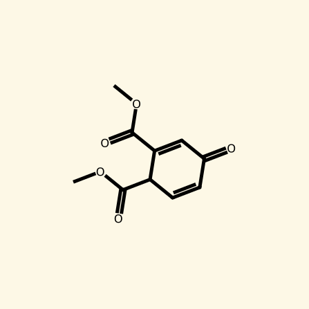 COC(=O)C1=CC(=O)C=CC1C(=O)OC